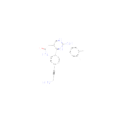 Cc1ccc(Nc2ncc3c(n2)-c2ccc(C#CCN)cc2NC(=O)C3)cc1C